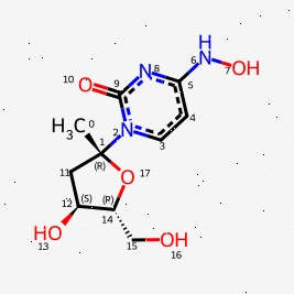 C[C@]1(n2ccc(NO)nc2=O)C[C@H](O)[C@@H](CO)O1